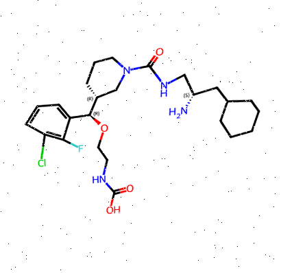 N[C@H](CNC(=O)N1CCC[C@@H]([C@@H](OCCNC(=O)O)c2cccc(Cl)c2F)C1)CC1CCCCC1